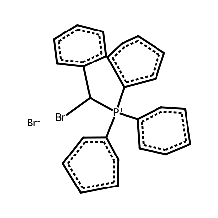 BrC(c1ccccc1)[P+](c1ccccc1)(c1ccccc1)c1ccccc1.[Br-]